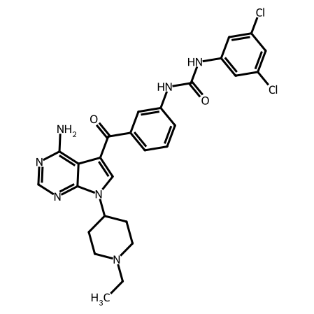 CCN1CCC(n2cc(C(=O)c3cccc(NC(=O)Nc4cc(Cl)cc(Cl)c4)c3)c3c(N)ncnc32)CC1